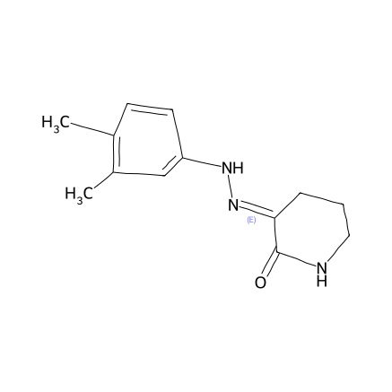 Cc1ccc(N/N=C2\CCCNC2=O)cc1C